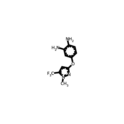 Cn1nc(Oc2ccc(N)c(N)c2)cc1C(F)(F)F